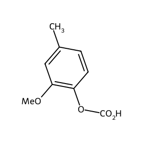 COc1cc(C)ccc1OC(=O)O